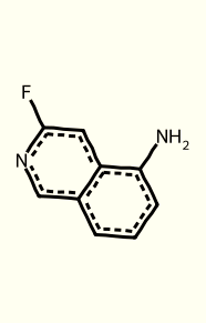 Nc1cccc2cnc(F)cc12